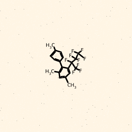 Cc1[c]c(C)c(-c2ccc(C)cc2)c(C(F)(C(F)(F)F)C(F)(F)C(F)(F)F)c1